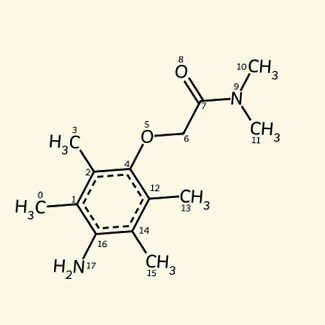 Cc1c(C)c(OCC(=O)N(C)C)c(C)c(C)c1N